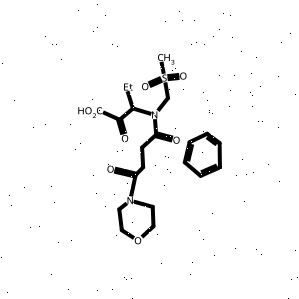 CCC(C(=O)C(=O)O)N(CS(C)(=O)=O)C(=O)CCC(=O)N1CCOCC1.c1ccccc1